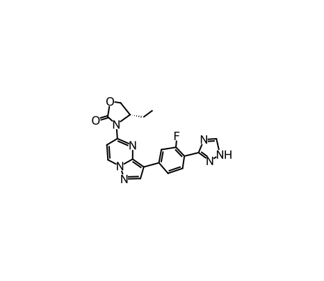 CC[C@H]1COC(=O)N1c1ccn2ncc(-c3ccc(-c4nc[nH]n4)c(F)c3)c2n1